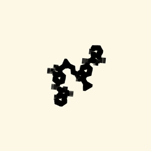 c1cnc2c(Nc3ccc4c(C5CC5CCn5nc(C6CC6)c6ccc(Nc7n[nH]c8cccnc78)cc65)n[nH]c4c3)n[nH]c2c1